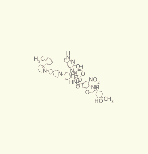 Cc1ccccc1[C@H]1CCCCN1C1CC2(CCN(c3ccc(C(=O)NS(=O)(=O)c4cc5c(c([N+](=O)[O-])c4)NC(C4(F)CCC(C)(O)CC4)CO5)c(N4c5cc6cc[nH]c6nc5O[C@H]5COCC[C@@H]54)c3)CC2)C1